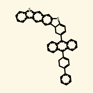 C1=C(c2ccccc2)CCC(c2c3ccccc3c(C3=CC=C4Sc5cc6cc7sc8ccccc8c7cc6cc5C4C3)c3ccccc23)=C1